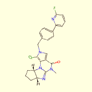 CN1C(=O)c2cn(Cc3ccc(-c4cccc(F)n4)cc3)c(Cl)c2N2C1=N[C@@H]1CCC[C@@H]12